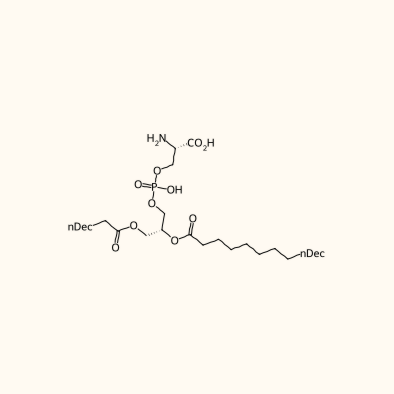 CCCCCCCCCCCCCCCCCC(=O)O[C@H](COC(=O)CCCCCCCCCCC)COP(=O)(O)OC[C@H](N)C(=O)O